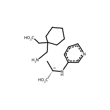 C[C@H](Nc1cccnc1)C(=O)O.NCC1(CC(=O)O)CCCCC1